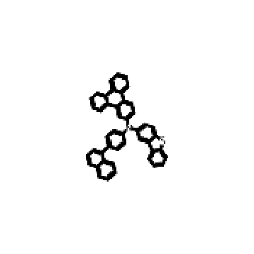 c1ccc2c(-c3ccc(N(c4ccc5sc6ccccc6c5c4)c4ccc5c6ccccc6c6ccccc6c5c4)cc3)cccc2c1